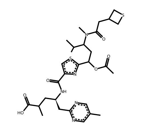 CC(=O)OC(CC(C(C)C)N(C)C(=O)CC1CSC1)c1nc(C(=O)N[C@@H](Cc2ncc(C)cn2)CC(C)C(=O)O)cs1